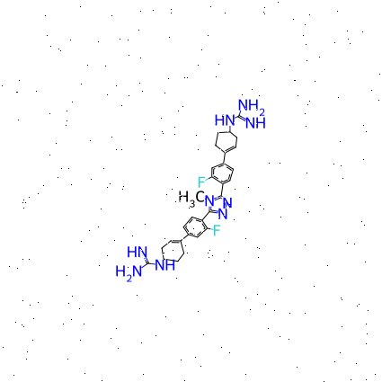 Cn1c(-c2ccc(C3=CCC(NC(=N)N)CC3)cc2F)nnc1-c1ccc(C2=CCC(NC(=N)N)CC2)cc1F